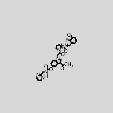 CC(=O)c1cn(CC(=O)N2CCC[C@H]2C(=O)NCc2cccc(Cl)c2F)c2ccc(OC(=O)NCc3ncccn3)cc12